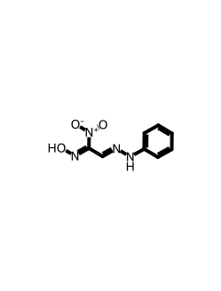 O=[N+]([O-])C(C=NNc1ccccc1)=NO